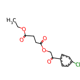 CCOC(=O)CCC(=O)OCC(=O)c1ccc(Cl)cc1